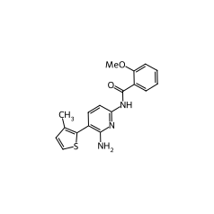 COc1ccccc1C(=O)Nc1ccc(-c2sccc2C)c(N)n1